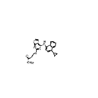 COC(=O)CCSc1nc(Nc2ccc(C3CC3)c3ccccc23)c2ccsc2n1